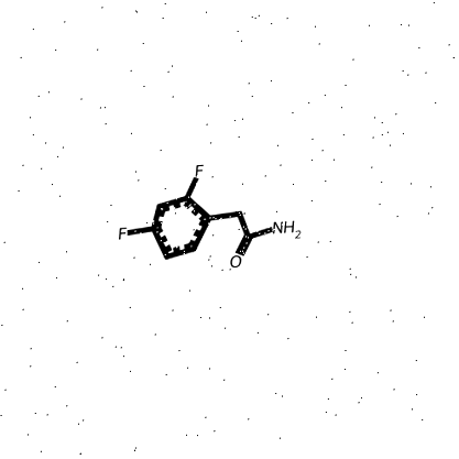 NC(=O)[CH]c1ccc(F)cc1F